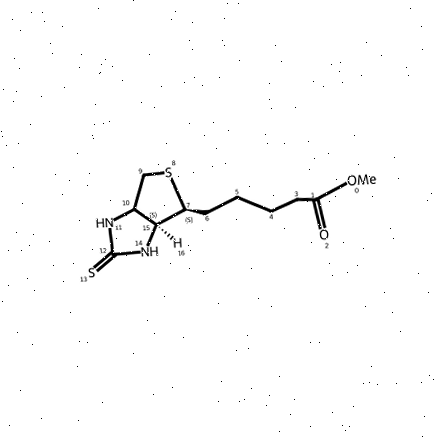 COC(=O)CCCC[C@@H]1SCC2NC(=S)N[C@@H]21